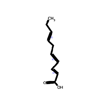 CC/C=C/C/C=C/C=C/C(=O)O